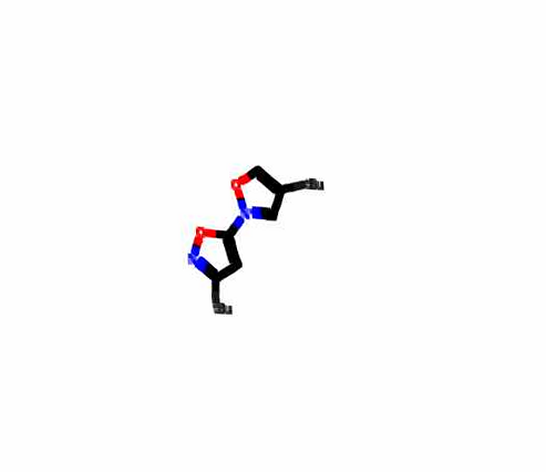 CC(C)(C)c1co[n+](-c2cc(C(C)(C)C)no2)c1